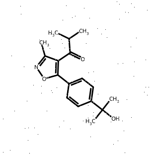 Cc1noc(-c2ccc(C(C)(C)O)cc2)c1C(=O)C(C)C